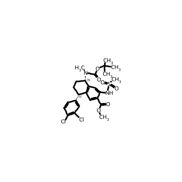 COC(=O)c1cc2c(cc1NS(C)(=O)=O)[C@@H](N(C)C(=O)OC(C)(C)C)CC[C@H]2c1ccc(Cl)c(Cl)c1